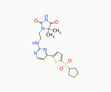 CC1(C)C(=O)NC(=O)N1CCNc1nccc(-c2ccc(S(=O)(=O)C3CCCC3)s2)n1